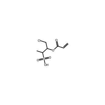 C=CC(=O)OC(CCl)C(C)S(=O)(=O)O